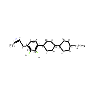 CC/C=C\Cc1ccc(C2CCC(C3CCC(CCCCCC)CC3)CC2)c(F)c1F